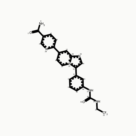 NC(=O)c1ccc(-c2ccn3c(-c4cccc(NC(=O)NCC(F)(F)F)c4)cnc3c2)nc1